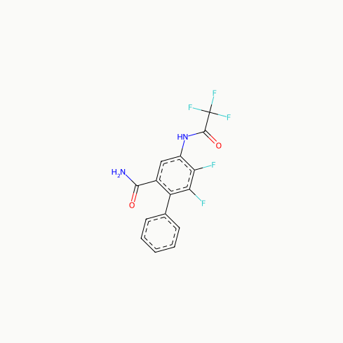 NC(=O)c1cc(NC(=O)C(F)(F)F)c(F)c(F)c1-c1ccccc1